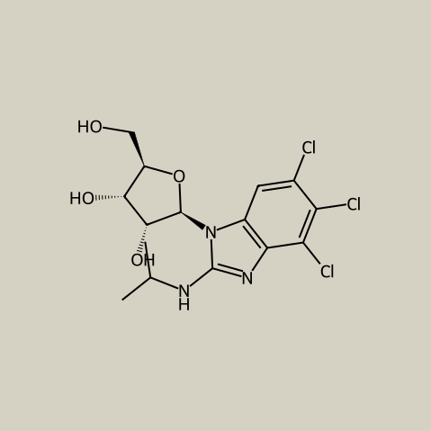 CC(C)Nc1nc2c(Cl)c(Cl)c(Cl)cc2n1[C@@H]1O[C@H](CO)[C@@H](O)[C@H]1O